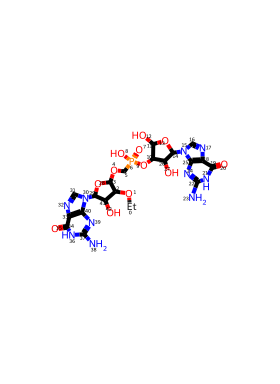 CCOC1C(OCP(=O)(O)OC2C(O)OC(n3cnc4c(=O)[nH]c(N)nc43)C2O)OC(n2cnc3c(=O)[nH]c(N)nc32)C1O